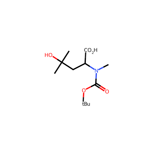 CN(C(=O)OC(C)(C)C)C(CC(C)(C)O)C(=O)O